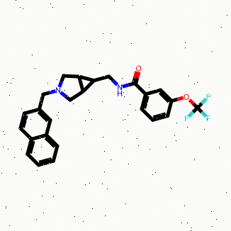 O=C(NCC1C2CN(Cc3ccc4ccccc4c3)CC12)c1cccc(OC(F)(F)F)c1